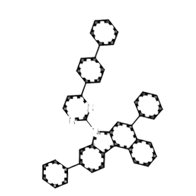 c1ccc(-c2ccc(-c3ccnc(-n4c5cc(-c6ccccc6)ccc5c5c6ccccc6c(-c6ccccc6)cc54)n3)cc2)cc1